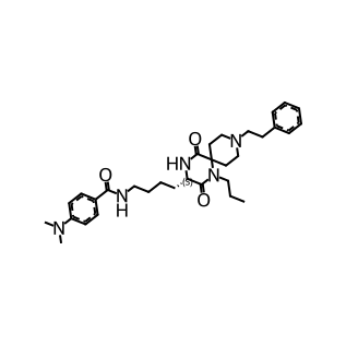 CCCN1C(=O)[C@H](CCCCNC(=O)c2ccc(N(C)C)cc2)NC(=O)C12CCN(CCc1ccccc1)CC2